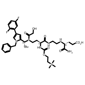 CC(C)(C)[C@H](c1cc(-c2cc(F)ccc2F)cn1Cc1ccccc1)N(CC[C@H](NC(=O)OCC[Si](C)(C)C)C(=O)NCCN[C@H](CCC(=O)O)C(N)=O)C(=O)CO